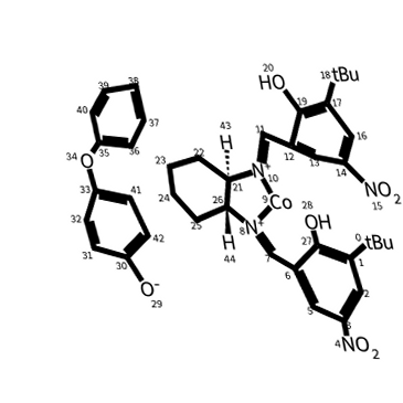 CC(C)(C)c1cc([N+](=O)[O-])cc(C=[N+]2[Co][N+](=Cc3cc([N+](=O)[O-])cc(C(C)(C)C)c3O)[C@@H]3CCCC[C@H]32)c1O.[O-]c1ccc(Oc2ccccc2)cc1